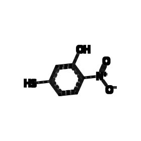 O=[N+]([O-])c1ccc(S)cc1O